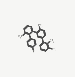 Fc1ccc(-c2c(C(F)(F)F)[c]ccc2-c2cc(-c3cccc(C(F)(F)F)c3C(F)(F)F)ccc2C(F)(F)F)cc1